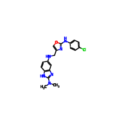 CN(C)c1nc2cc(NCc3coc(Nc4ccc(Cl)cc4)n3)ccc2[nH]1